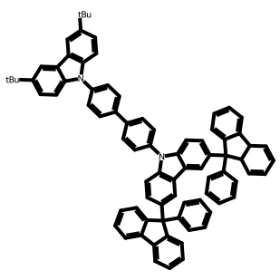 CC(C)(C)c1ccc2c(c1)c1cc(C(C)(C)C)ccc1n2-c1ccc(-c2ccc(-n3c4ccc(C5(c6ccccc6)c6ccccc6-c6ccccc65)cc4c4cc(C5(c6ccccc6)c6ccccc6C6C=CC=CC65)ccc43)cc2)cc1